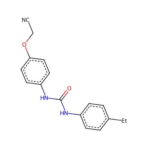 CCc1ccc(NC(=O)Nc2ccc(OCC#N)cc2)cc1